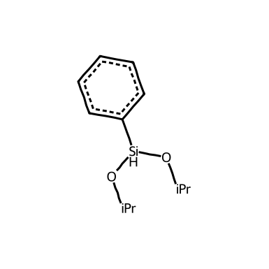 CC(C)O[SiH](OC(C)C)c1ccccc1